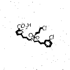 O=C(O)c1ccc(CCCN(CCCc2cccc(Cl)c2)S(=O)(=O)CCCCl)s1